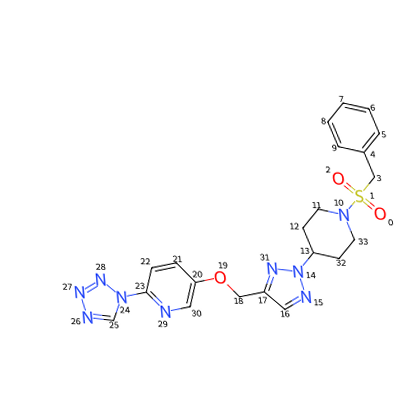 O=S(=O)(Cc1ccccc1)N1CCC(n2ncc(COc3ccc(-n4cnnn4)nc3)n2)CC1